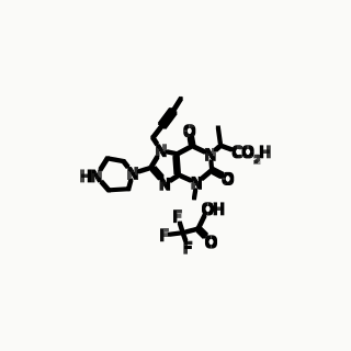 CC#CCn1c(N2CCNCC2)nc2c1c(=O)n(C(C)C(=O)O)c(=O)n2C.O=C(O)C(F)(F)F